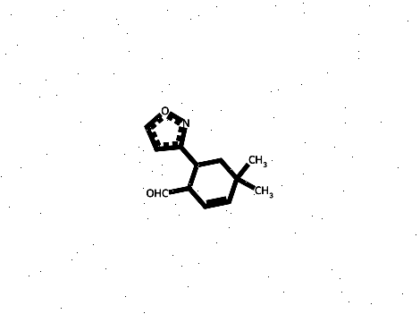 CC1(C)C=CC(C=O)C(c2ccon2)C1